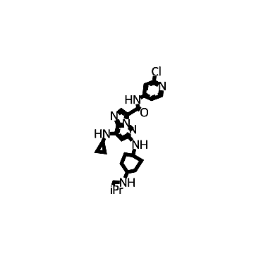 CC(C)CNC1CCC(Nc2cc(NC3CC3)c3ncc(C(=O)Nc4ccnc(Cl)c4)n3n2)CC1